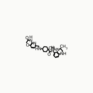 CC1CNc2cccc(NC(=O)C3(O)CCC(NCc4ccc5c(n4)NC(=O)CO5)CC3)c2N1